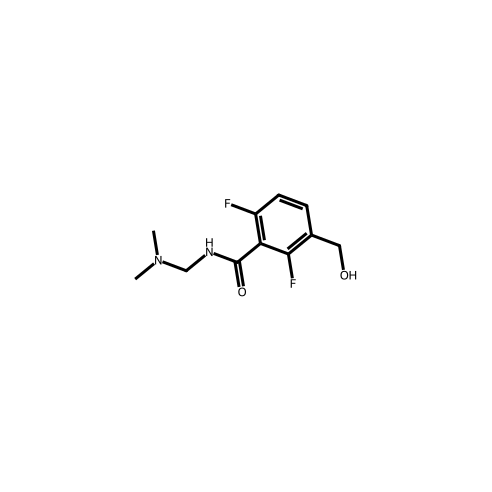 CN(C)CNC(=O)c1c(F)ccc(CO)c1F